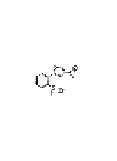 C[S+]([O-])c1csc(-c2ccccc2S)c1.[Zn]